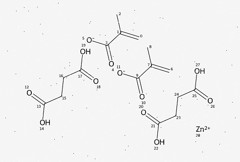 C=C(C)C(=O)[O-].C=C(C)C(=O)[O-].O=C(O)CCC(=O)O.O=C(O)CCC(=O)O.[Zn+2]